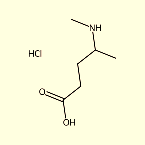 CNC(C)CCC(=O)O.Cl